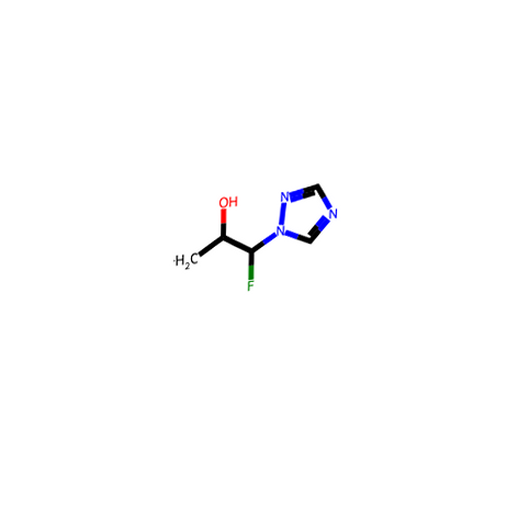 [CH2]C(O)C(F)n1cncn1